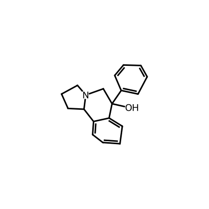 OC1(c2ccccc2)CN2CCCC2c2ccccc21